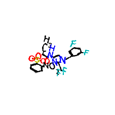 C[C@@H](OS(=O)(=O)c1ccccc1[N+](=O)[O-])C(=O)Nc1cn(Cc2cc(F)cc(F)c2)c(C(F)F)n1